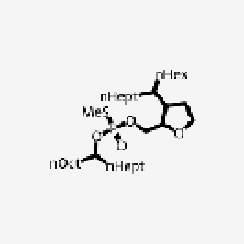 CCCCCCCCC(CCCCCCC)OP(=O)(OCC1OCCC1C(CCCCCC)CCCCCCC)SC